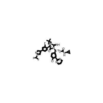 CC(C)(C)C[C@]1(c2ccc(-c3cnn(C(F)F)c3)cc2F)NC(=N)N([C@H](COC(=O)NC2CC2)c2ccc(Cl)c(-c3ncccn3)c2)C1=O